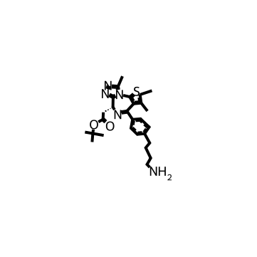 Cc1sc2c(c1C)C(c1ccc(CCCCN)cc1)=N[C@H](CC(=O)OC(C)(C)C)c1nnc(C)n1-2